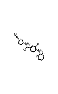 N#CN1CC[C@@H](NC(=O)c2ccc(Nc3ncccn3)c(F)c2)C1